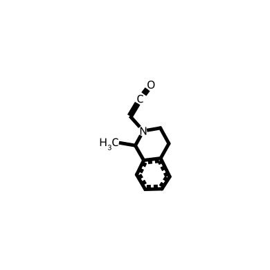 CC1c2ccccc2CCN1C=C=O